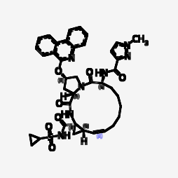 Cn1ccc(C(=O)N[C@H]2CCCCC/C=C\[C@@H]3C[C@@]3(C(=O)NS(=O)(=O)C3CC3)NC(=O)[C@@H]3C[C@@H](Oc4nc5ccccc5c5ccccc45)CN3C2=O)n1